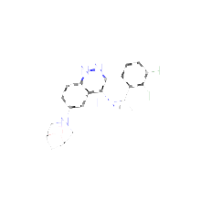 C[C@@H](Nc1cnnc2ccc(N3CC4CC(C3)O4)cc12)c1cccc(F)c1F